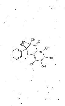 O=C1c2c(O)c(O)c(O)c(O)c2OC(O)(c2ccccc2)C1(O)O